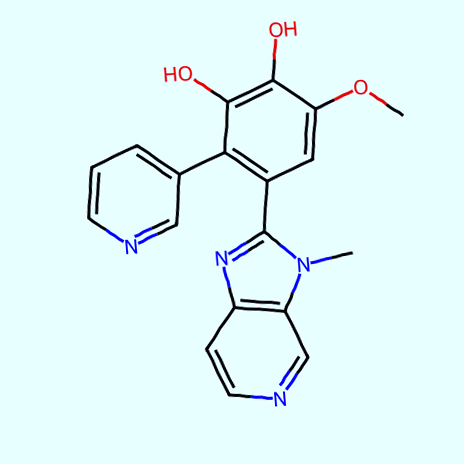 COc1cc(-c2nc3ccncc3n2C)c(-c2cccnc2)c(O)c1O